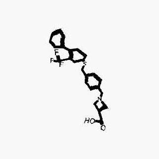 O=C(O)C1CN(Cc2ccc(CSc3ccc(-c4ccccc4)c(C(F)(F)F)c3)cc2)C1